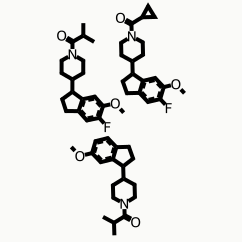 COc1cc2c(cc1F)CCC2C1CCN(C(=O)C(C)C)CC1.COc1cc2c(cc1F)CCC2C1CCN(C(=O)C2CC2)CC1.COc1ccc2c(c1)C(C1CCN(C(=O)C(C)C)CC1)CC2